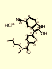 CCCCN(C)C(=O)c1ccc(-c2c(O)[nH]c3ccc(C#N)cc23)nc1.Cl